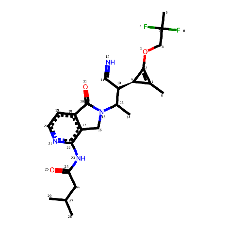 CC1=C(OCC(C)(F)F)[C@@H]1C(C=N)C(C)N1Cc2c(ccnc2NC(=O)CC(C)C)C1=O